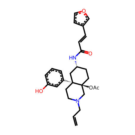 C=CCN1CC[C@@]2(c3cccc(O)c3)C[C@H](NC(=O)C=Cc3ccoc3)CC[C@]2(OC(C)=O)C1